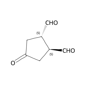 O=C[C@H]1CC(=O)C[C@@H]1C=O